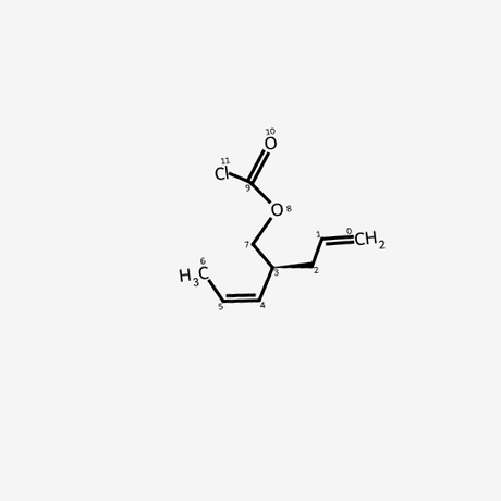 C=CC[C@@H](/C=C\C)COC(=O)Cl